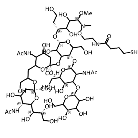 CO[C@H](C(O)C(O)[C@@H](CCO)O[C@@H]1OC(CO)[C@H](O[C@@H]2OC(CO)[C@H](O)C(O[C@@H]3OC(CO)[C@H](O)C(O)C3O)C2NC(C)=O)C(O[C@]2(C(=O)O)CC(O)C(NC(C)=O)C(CC(CO)O[C@]3(C(=O)O)CC(O)[C@@H](NC(C)=O)C([C@H](O)[C@H](O)CO)O3)O2)C1O)N(C)OCCNC(=O)CCCS